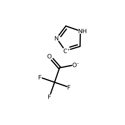 O=C([O-])C(F)(F)F.[C+]1=CNC=N1